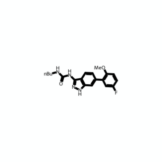 CCCCNC(=O)Nc1n[nH]c2cc(-c3cc(F)ccc3OC)ccc12